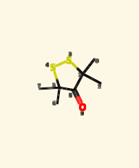 CC1(C)SSC(C)(C)C1=O